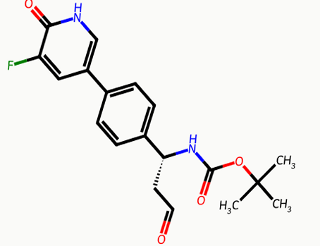 CC(C)(C)OC(=O)N[C@H](CC=O)c1ccc(-c2c[nH]c(=O)c(F)c2)cc1